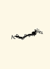 CCCCCCc1cn(CCOCCOCCOCCOCCC(C)=O)nn1